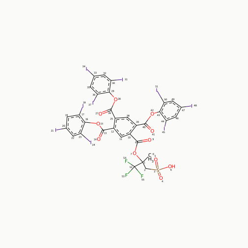 CC(CS(=O)(=O)O)(OC(=O)c1cc(C(=O)Oc2c(I)cc(I)cc2I)c(C(=O)Oc2c(I)cc(I)cc2I)cc1C(=O)Oc1c(I)cc(I)cc1I)C(F)(F)F